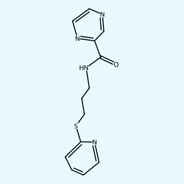 O=C(NCCCSc1ccccn1)c1cnccn1